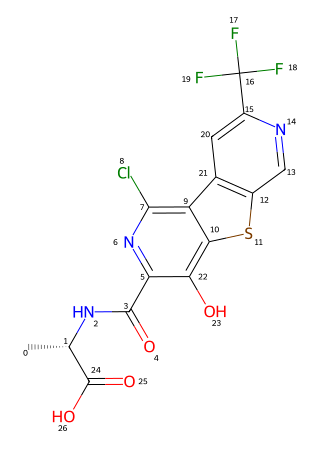 C[C@H](NC(=O)c1nc(Cl)c2c(sc3cnc(C(F)(F)F)cc32)c1O)C(=O)O